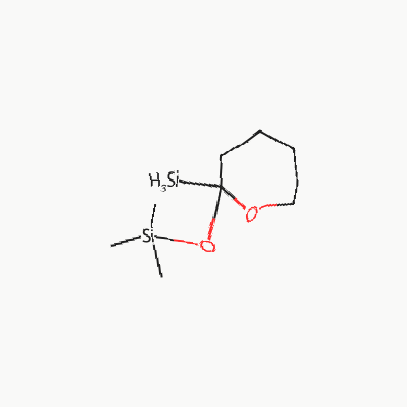 C[Si](C)(C)OC1([SiH3])CCCCO1